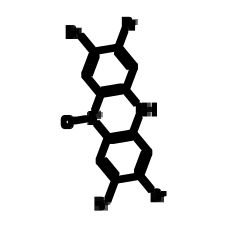 [O-][S+]1c2cc(Br)c(Br)cc2Nc2cc(Br)c(Br)cc21